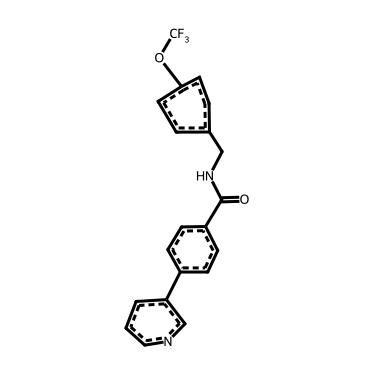 O=C(NCc1ccc(OC(F)(F)F)cc1)c1ccc(-c2cccnc2)cc1